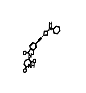 O=C1CCC(N2Cc3cc(C#C[C@H]4C[C@H](NC5CCCCC5)C4)ccc3C2=O)C(=O)N1